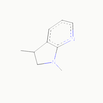 CC1CN(C)c2ncccc21